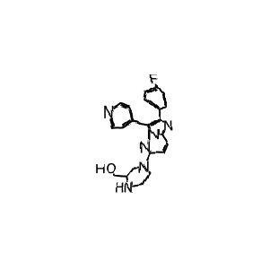 OCC1CN(c2ccc3nc(-c4ccc(F)cc4)c(-c4ccncc4)n3n2)CCN1